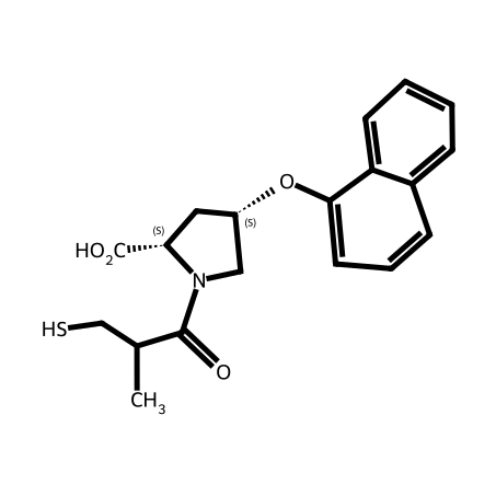 CC(CS)C(=O)N1C[C@@H](Oc2cccc3ccccc23)C[C@H]1C(=O)O